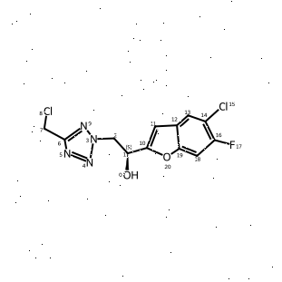 O[C@@H](Cn1nnc(CCl)n1)c1cc2cc(Cl)c(F)cc2o1